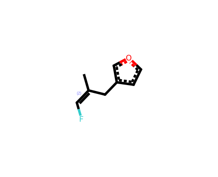 C/C(=C/F)Cc1ccoc1